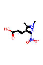 Cc1c(/C=C/C(=O)O)c([N+](=O)[O-])nn1C